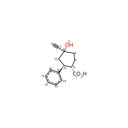 C#CC1(O)CC[C@H](C(=O)O)[C@@H](c2ccccc2)C1